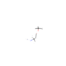 CC(C)C(C)(C)OCCC(C)(C)NC=O